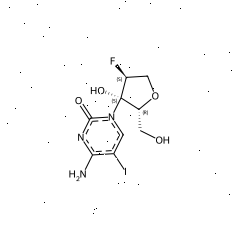 Nc1nc(=O)n([C@@]2(O)[C@@H](F)CO[C@@H]2CO)cc1I